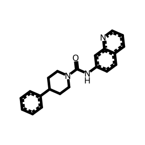 O=C(Nc1ccc2cccnc2c1)N1CCC(c2ccccc2)CC1